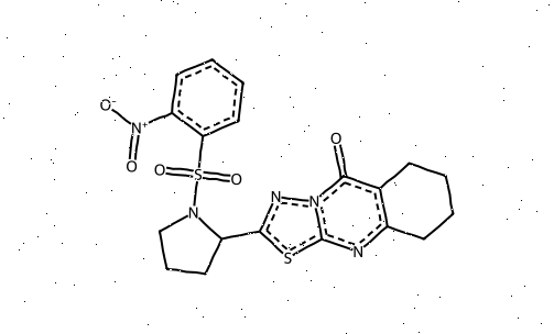 O=c1c2c(nc3sc(C4CCCN4S(=O)(=O)c4ccccc4[N+](=O)[O-])nn13)CCCC2